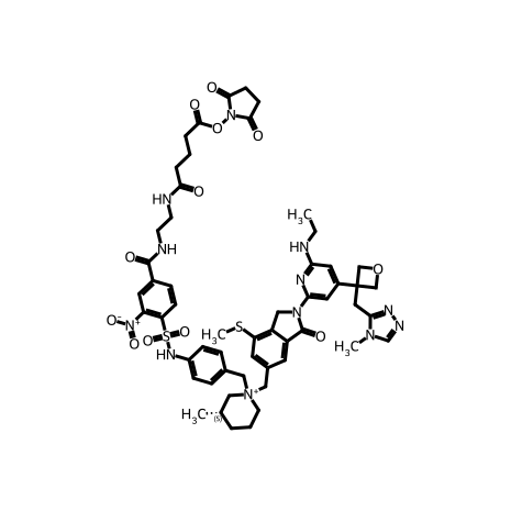 CCNc1cc(C2(Cc3nncn3C)COC2)cc(N2Cc3c(SC)cc(C[N+]4(Cc5ccc(NS(=O)(=O)c6ccc(C(=O)NCCNC(=O)CCCC(=O)ON7C(=O)CCC7=O)cc6[N+](=O)[O-])cc5)CCC[C@H](C)C4)cc3C2=O)n1